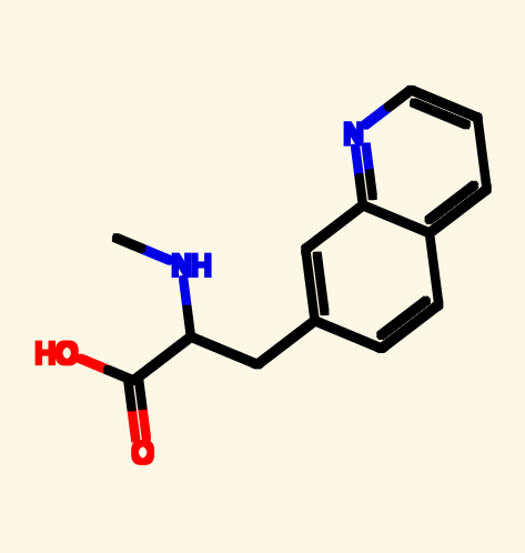 CNC(Cc1ccc2cccnc2c1)C(=O)O